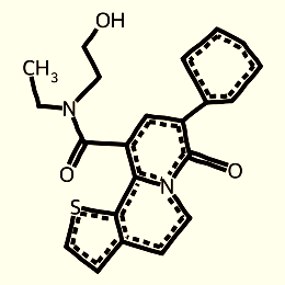 CCN(CCO)C(=O)c1cc(-c2ccccc2)c(=O)n2ccc3ccsc3c12